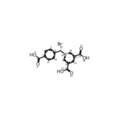 O=C(O)c1ccc(C[n+]2cc(C(=O)O)cc(C(=O)O)c2)cc1.[Br-]